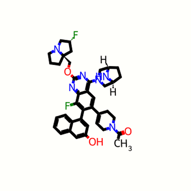 CC(=O)N1CC=C(c2cc3c(N4C[C@H]5CC[C@@H](C4)N5)nc(OC[C@@]45CCCN4C[C@H](F)C5)nc3c(F)c2-c2cc(O)cc3ccccc23)CC1